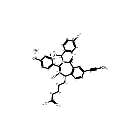 CC#Cc1ccc2c(c1)C(=O)N(C(C)c1ccc(Cl)cc1)C(c1ccc(Cl)cc1)=[N+]([O-])[C@@H]2CCCCC(=O)[O-].[Na+]